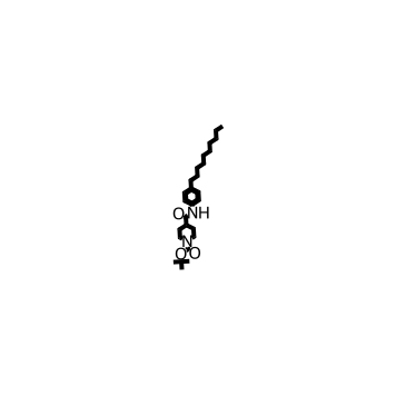 CCCCCCCCCCc1ccc(NC(=O)C2CCN(C(=O)OC(C)(C)C)CC2)cc1